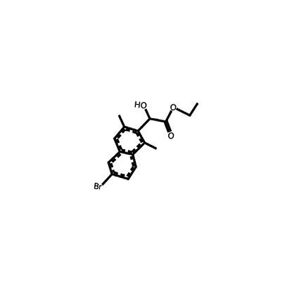 CCOC(=O)C(O)c1c(C)cc2cc(Br)ccc2c1C